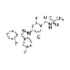 CS(=O)(=O)NC(=O)c1cc(Cl)c(-n2nc(-c3ccccc3F)c3cc(F)ccc32)cc1F